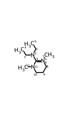 CCN(CC)C1=[N+](C)CCCN1C